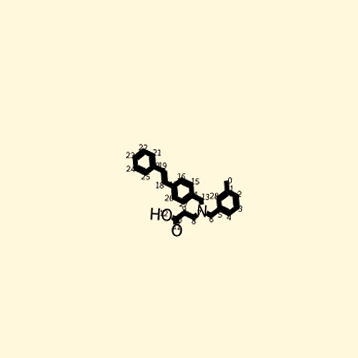 Cc1cccc(CN(CCC(=O)O)Cc2ccc(C=Cc3ccccc3)cc2)c1